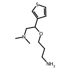 CN(C)CC(OCCCN)c1ccsc1